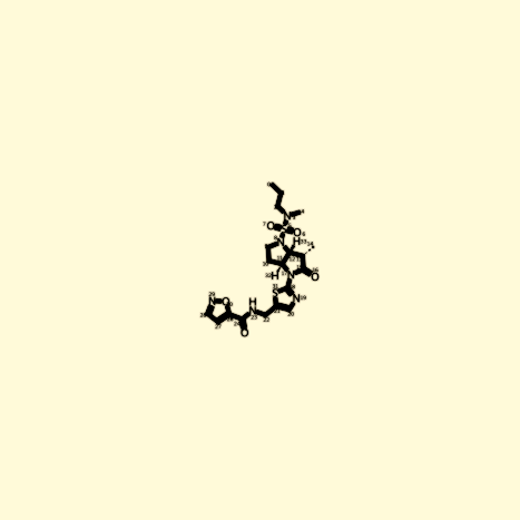 CCCN(C)S(=O)(=O)N1CC[C@H]2[C@H]1[C@H](C)C(=O)N2c1ncc(CNC(=O)c2ccno2)s1